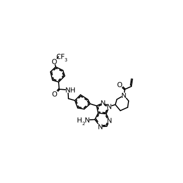 C=CC(=O)N1CCCC(n2nc(-c3ccc(CNC(=O)c4ccc(OC(F)(F)F)cc4)cc3)c3c(N)ncnc32)C1